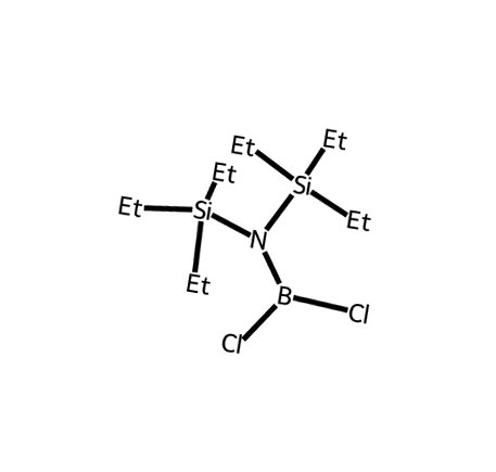 CC[Si](CC)(CC)N(B(Cl)Cl)[Si](CC)(CC)CC